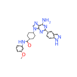 COc1cccc(NC(=O)C2CCC(n3cnc4c(N)nc(-c5ccc6[nH]ncc6c5)nc43)CC2)c1